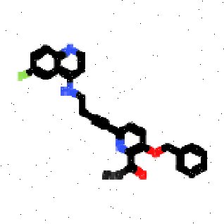 COC(=O)c1nc(C#CCCNc2ccnc3ccc(F)cc23)ccc1OCc1ccccc1